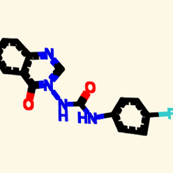 O=C(Nc1ccc(F)cc1)Nn1cnc2ccccc2c1=O